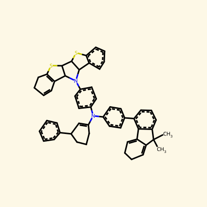 CC1(C)C2=CCCC=C2c2c(-c3ccc(N(C4=CC(c5ccccc5)CCC4)c4ccc(N5C6C7=C(CCC=C7)SC6C6Sc7ccccc7C65)cc4)cc3)cccc21